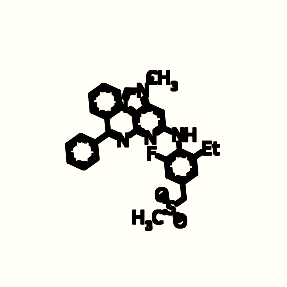 CCc1cc(CS(C)(=O)=O)cc(F)c1Nc1cc2c(ncn2C)c(N=C(c2ccccc2)c2ccccc2)n1